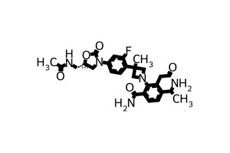 CC(=O)NC[C@H]1CN(c2ccc(C3(C)CN(c4c(C(N)=O)ccc(C(C)N)c4CC=O)C3)c(F)c2)C(=O)O1